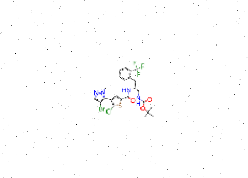 Cn1ncc(Br)c1-c1cc(C(=O)N[C@H](CNC(=O)OC(C)(C)C)Cc2ccccc2C(F)(F)F)sc1Cl